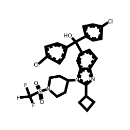 O=S(=O)(N1CCC(n2c(C3CCC3)nc3ccc(C(O)(c4ccc(Cl)cc4)c4ccc(Cl)cc4)cc32)CC1)C(F)(F)F